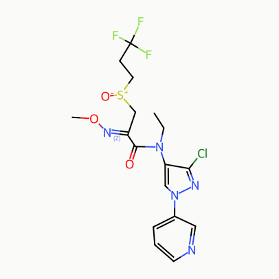 CCN(C(=O)/C(C[S+]([O-])CCC(F)(F)F)=N/OC)c1cn(-c2cccnc2)nc1Cl